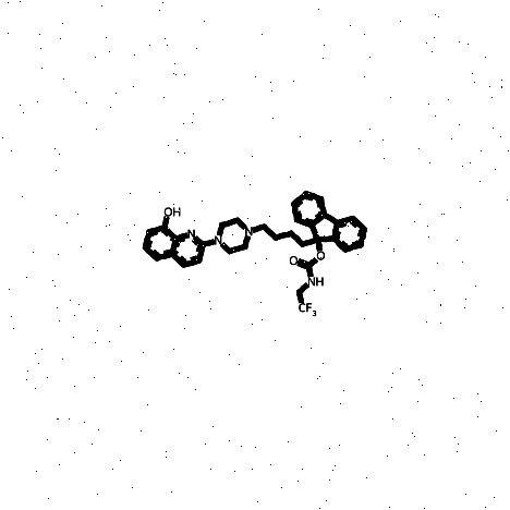 O=C(NCC(F)(F)F)OC1(CCCCN2CCN(c3ccc4cccc(O)c4n3)CC2)c2ccccc2-c2ccccc21